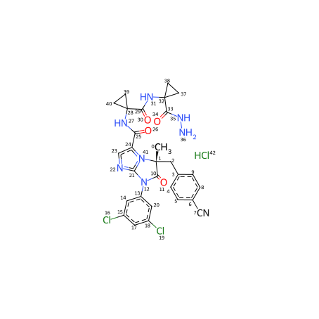 C[C@@]1(Cc2ccc(C#N)cc2)C(=O)N(c2cc(Cl)cc(Cl)c2)c2ncc(C(=O)NC3(C(=O)NC4(C(=O)NN)CC4)CC3)n21.Cl